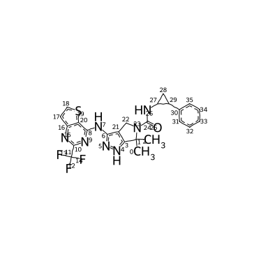 CC1(C)c2[nH]nc(Nc3nc(C(F)(F)F)nc4ccsc34)c2CN1C(=O)NC1CC1c1ccccc1